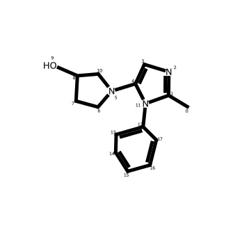 Cc1ncc(N2CCC(O)C2)n1-c1ccccc1